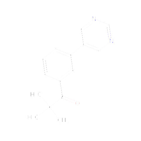 CC(C)(C)C(=O)c1cccc(-c2cncnc2)c1